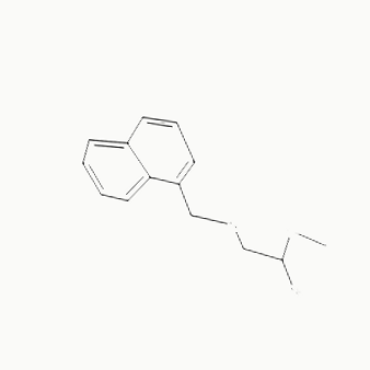 CCOC(CNCc1cccc2ccccc12)N=O